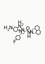 Nc1ccc(N2N=C(C(=O)NN3Cc4cccc5cccc(c45)C3)CC2c2ccc(F)cc2)c(N)c1